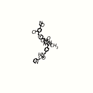 Cn1nc2c(=O)n(CC3(O)CCN(Cc4ccc(-c5cnco5)cc4Cl)CC3)cnc2c1-c1ccc(CNC(=O)OCc2ccccn2)cc1